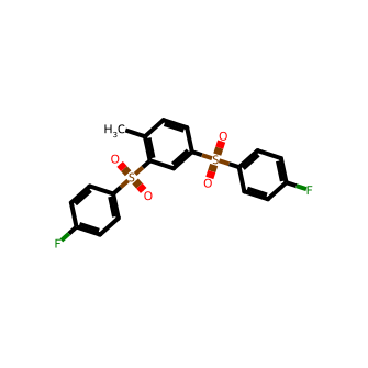 Cc1ccc(S(=O)(=O)c2ccc(F)cc2)cc1S(=O)(=O)c1ccc(F)cc1